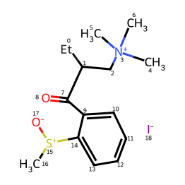 CCC(C[N+](C)(C)C)C(=O)c1ccccc1[S+](C)[O-].[I-]